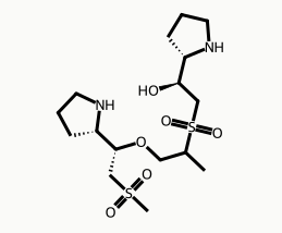 CC(CO[C@H](CS(C)(=O)=O)[C@@H]1CCCN1)S(=O)(=O)C[C@@H](O)[C@@H]1CCCN1